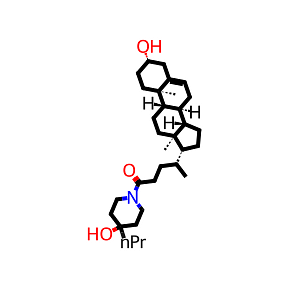 CCCC1(O)CCN(C(=O)CCC(C)[C@H]2CC[C@H]3[C@@H]4CC=C5C[C@@H](O)CC[C@]5(C)[C@H]4CC[C@]23C)CC1